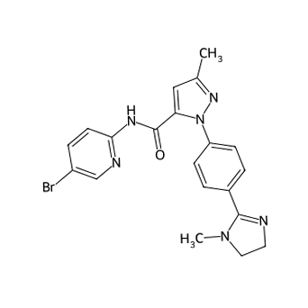 Cc1cc(C(=O)Nc2ccc(Br)cn2)n(-c2ccc(C3=NCCN3C)cc2)n1